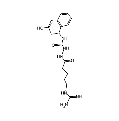 N=C(N)NCCCCC(=O)NNC(=O)NC(CC(=O)O)c1ccccc1